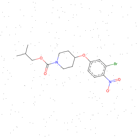 CC(C)COC(=O)N1CCC(Oc2ccc([N+](=O)[O-])c(Br)c2)CC1